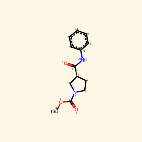 CC(C)(C)OC(=O)N1CC[C@H](C(=O)Nc2ccccc2)C1